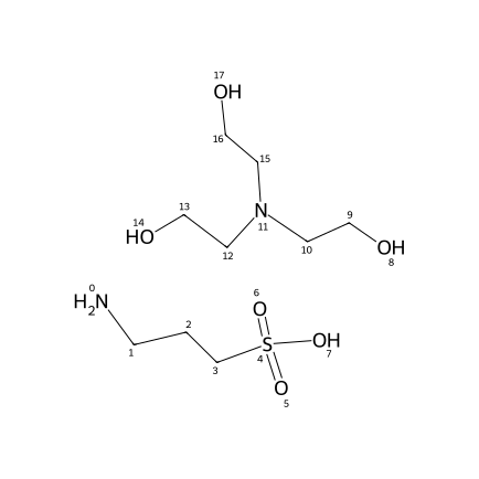 NCCCS(=O)(=O)O.OCCN(CCO)CCO